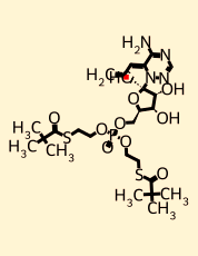 C#C[C@@]1(N2N=CN=C(N)/C2=C/C=C)O[C@H](COP(=O)(OCCSC(=O)C(C)(C)C)OCCSC(=O)C(C)(C)C)[C@@H](O)[C@H]1O